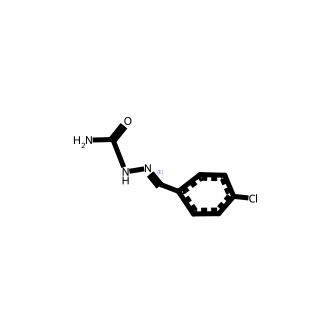 NC(=O)N/N=C/c1ccc(Cl)cc1